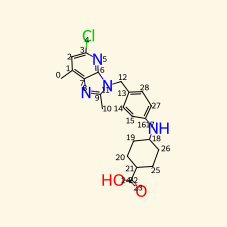 Cc1cc(Cl)nc2c1nc(C)n2Cc1ccc(NC2CCC(C(=O)O)CC2)cc1